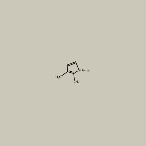 CC1=C(C)[SiH](C(C)(C)C)C=C1